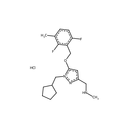 CNCc1cc(OCc2c(F)ccc(C)c2F)n(CC2CCCC2)n1.Cl